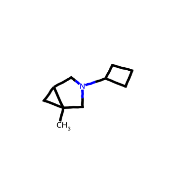 CC12CC1CN(C1CCC1)C2